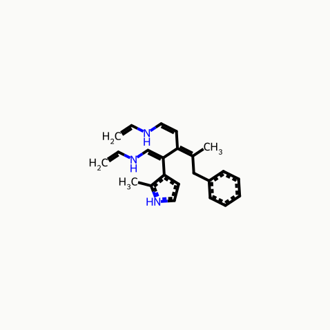 C=CN\C=C/C(C(=C/NC=C)/c1cc[nH]c1C)=C(\C)Cc1ccccc1